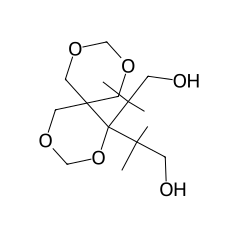 CC(C)(CO)C1(C(C)(C)CO)OCOCC12COCOC2